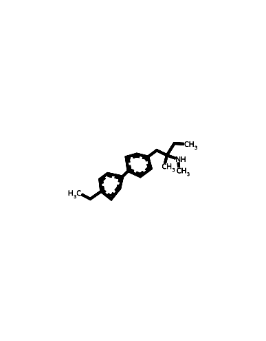 CCc1ccc(-c2ccc(CC(C)(CC)NC)cc2)cc1